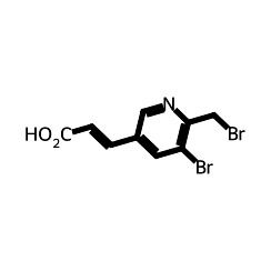 O=C(O)C=Cc1cnc(CBr)c(Br)c1